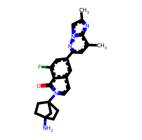 Cc1cn2nc(-c3cc(F)c4c(=O)n(C56CCC(N)(CC5)C6)ccc4c3)cc(C)c2n1